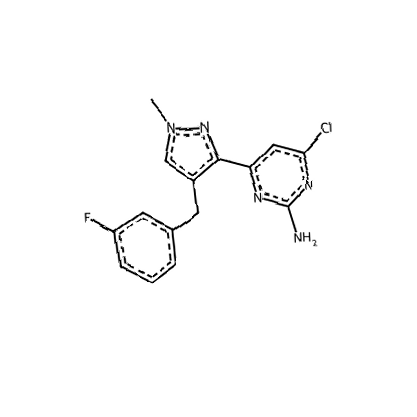 Cn1cc(Cc2cccc(F)c2)c(-c2cc(Cl)nc(N)n2)n1